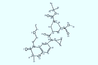 CCOCCN1C(=O)C(C)(C)Oc2ccc(N(C(=O)[C@@H]3C[C@H](C(=O)OC)CN(C(=O)OC(C)(C)C)C3)C3CC3)cc21